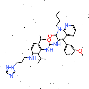 CCCCn1c(=O)c(NC(=O)Nc2c(C(C)C)ccc(NCCCn3cncn3)c2C(C)C)c(-c2cccc(OC)c2)c2cccnc21